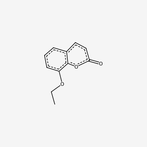 CCOc1cccc2ccc(=O)oc12